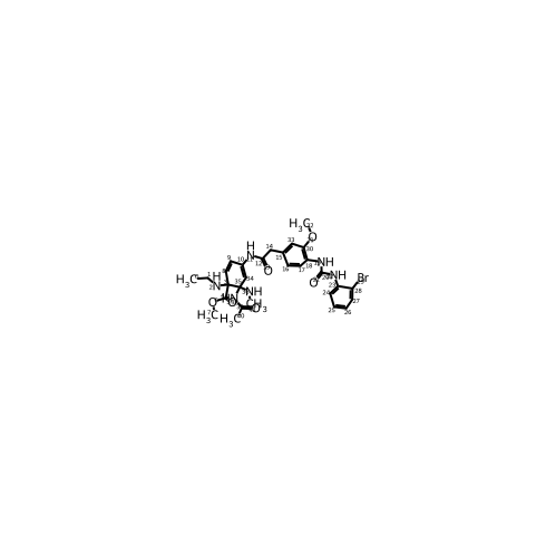 CCNC1(C(=O)OC)C=CC(NC(=O)Cc2ccc(NC(=O)Nc3ccccc3Br)c(OC)c2)=CC1(NC)NC(C)=O